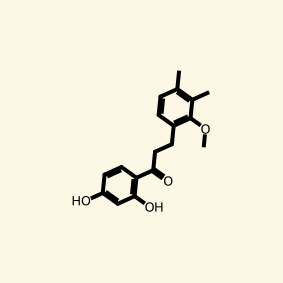 COc1c(CCC(=O)c2ccc(O)cc2O)ccc(C)c1C